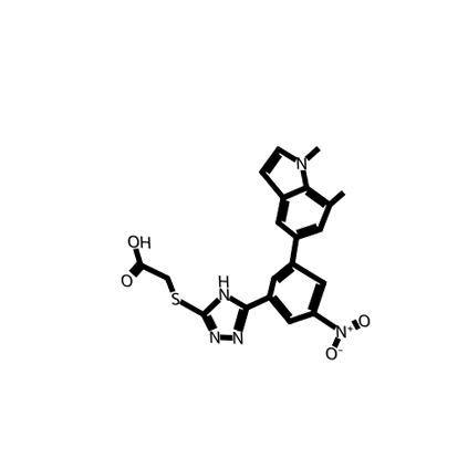 Cc1cc(-c2cc(-c3nnc(SCC(=O)O)[nH]3)cc([N+](=O)[O-])c2)cc2ccn(C)c12